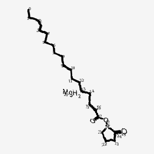 CCCCCCCCCCCCCCCCCC(=O)ON1CCCC1=O.[MgH2]